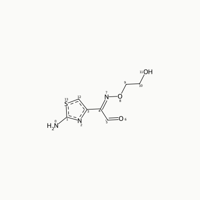 Nc1nc(/C([C]=O)=N/OCCO)cs1